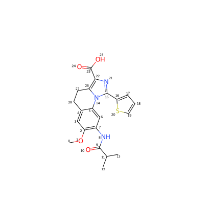 COc1cc2c(cc1NC(=O)C(C)C)-n1c(-c3cccs3)nc(C(=O)O)c1CC2